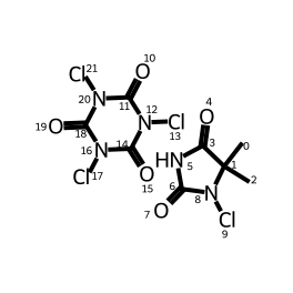 CC1(C)C(=O)NC(=O)N1Cl.O=c1n(Cl)c(=O)n(Cl)c(=O)n1Cl